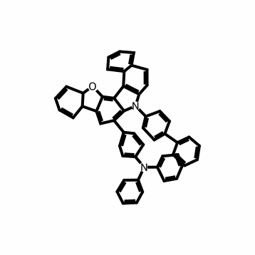 C1=CC2Oc3c(cc(-c4ccc(N(c5ccccc5)c5ccccc5)cc4)c4c3c3c5ccccc5ccc3n4-c3ccc(-c4ccccc4)cc3)C2C=C1